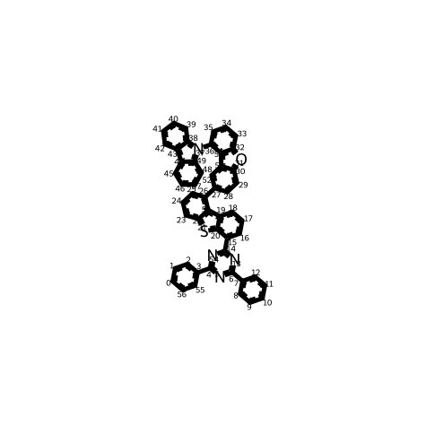 c1ccc(-c2nc(-c3ccccc3)nc(-c3cccc4c3sc3cccc(-c5ccc6oc7cccc(-n8c9ccccc9c9ccccc98)c7c6c5)c34)n2)cc1